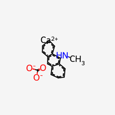 CNc1c2ccccc2cc2ccccc12.O=C([O-])[O-].[Ca+2]